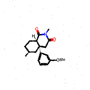 COc1cccc([C@@]23CC(=O)N(C)C(=O)[C@@H]2CC[C@H](C)C3)c1